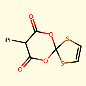 CC(C)C1C(=O)OC2(OC1=O)SC=CS2